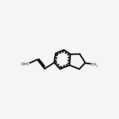 CC1Cc2ccc(C=CC=O)cc2C1